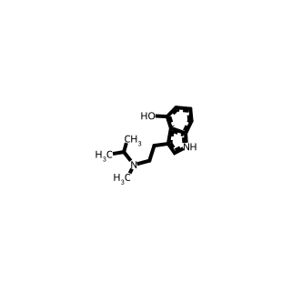 CC(C)N(C)CCc1c[nH]c2cccc(O)c12